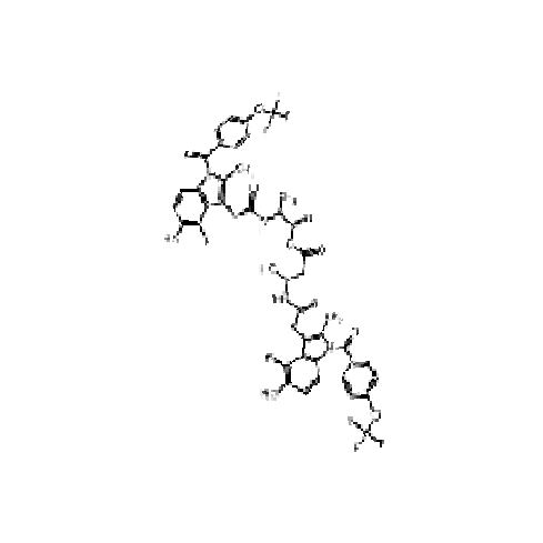 Cc1c(CC(=O)NC(C)CC(=O)OC(=O)C(C)NC(=O)Cc2c(C)n(C(=O)c3ccc(OC(F)(F)F)cc3)c3ccc(O)c(F)c23)c2c(F)c(O)ccc2n1C(=O)c1ccc(OC(F)(F)F)cc1